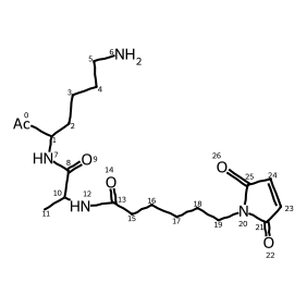 CC(=O)C(CCCCN)NC(=O)C(C)NC(=O)CCCCCN1C(=O)C=CC1=O